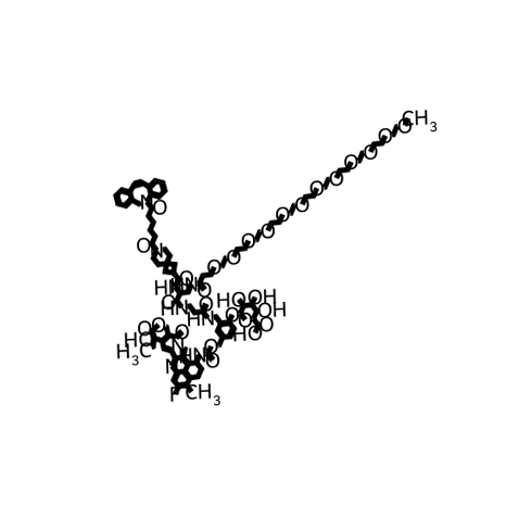 CCC1(O)C(=O)OCc2c1cc1n(c2=O)Cc2c-1nc1cc(F)c(C)c3c1c2C(NC(=O)OCc1ccc(OC2OC(C(=O)O)C(O)C(O)C2O)c(CNC(=O)CCNC(=O)C(CNC(=O)CCOCCOCCOCCOCCOCCOCCOCCOCCOCCOCCOCCOC)NC(=O)C2CC4(CCN(C(=O)CCCCC(=O)N5Cc6ccccc6C#Cc6ccccc65)CC4)C2)c1)CC3